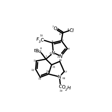 CC(C)(C)C1(n2ncc(C(=O)Cl)c2C(F)(F)F)C=CC=C2C1CCN2C(=O)O